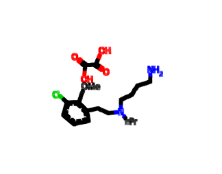 CCCN(CCCCN)CCc1cccc(Cl)c1OC.O=C(O)C(=O)O